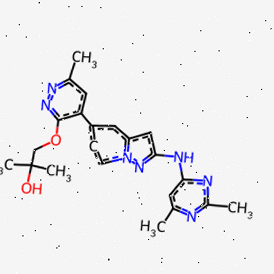 Cc1cc(-c2ccn3nc(Nc4cc(C)nc(C)n4)cc3c2)c(OCC(C)(C)O)nn1